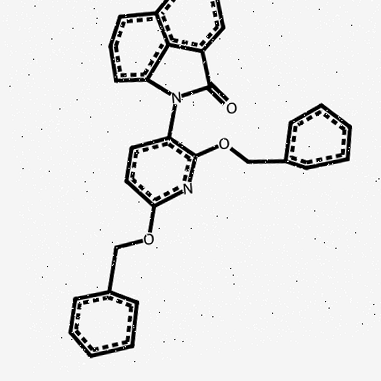 O=C1c2cccc3cccc(c23)N1c1ccc(OCc2ccccc2)nc1OCc1ccccc1